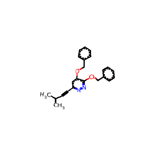 CC(C)C#Cc1cc(OCc2ccccc2)c(OCc2ccccc2)nn1